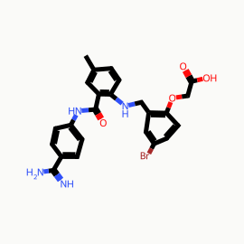 Cc1ccc(NCc2cc(Br)ccc2OCC(=O)O)c(C(=O)Nc2ccc(C(=N)N)cc2)c1